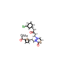 COC(=O)c1ccc(CCN2C(=O)SC=CN2CCC(=O)Cc2cccc(Br)c2)s1